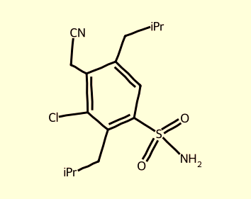 CC(C)Cc1cc(S(N)(=O)=O)c(CC(C)C)c(Cl)c1CC#N